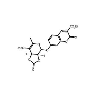 CCOC(=O)c1cc2ccc(OC3OC(C)=C(OC)[C@@H]4OC(=O)O[C@H]34)cc2oc1=O